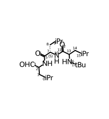 CC(C)CC(C=O)NC(=O)[C@H](CC(C)C)NC(=O)C(CC(C)C)NC(C)(C)C